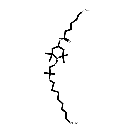 CCCCCCCCCCCCCCCCCCOC(C)(C)CON1C(C)(C)CC(OC(=O)CCCCCCCCCCCCCCC)CC1(C)C